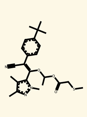 CSCC(=O)OC(C)O/C(=C(/C#N)c1ccc(C(C)(C)C)cc1)c1c(C)c(C)nn1C